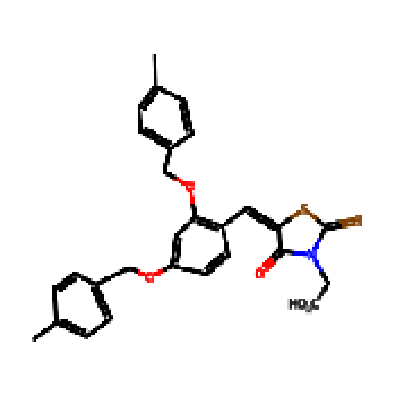 Cc1ccc(COc2ccc(C=C3SC(=S)N(CC(=O)O)C3=O)c(OCc3ccc(C)cc3)c2)cc1